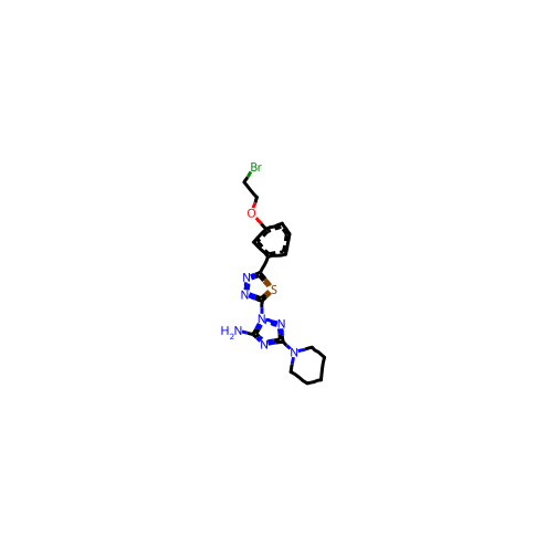 Nc1nc(N2CCCCC2)nn1-c1nnc(-c2cccc(OCCBr)c2)s1